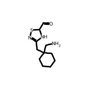 NCC1(CC2=NSC(C=O)N2)CCCCC1